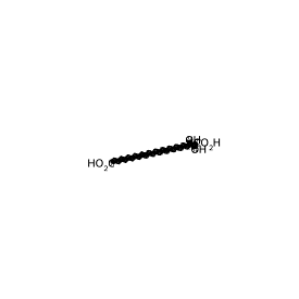 O=C(O)CCCCCCCCCCCCCCCCCCCCCCC(O)C(O)C(=O)O